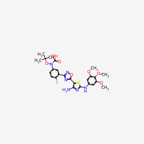 COc1cc(Nc2nc(N)c(-c3nc(-c4cc(N(OC(C)(C)C)C(=O)O)ccc4F)no3)s2)cc(OC)c1OC